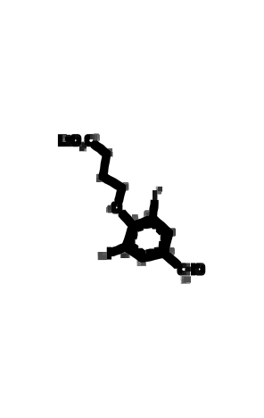 CCOC(=O)CCCOc1c(I)cc(C=O)cc1I